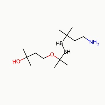 CC(C)(O)CCOC(C)(C)BBC(C)(C)CCN